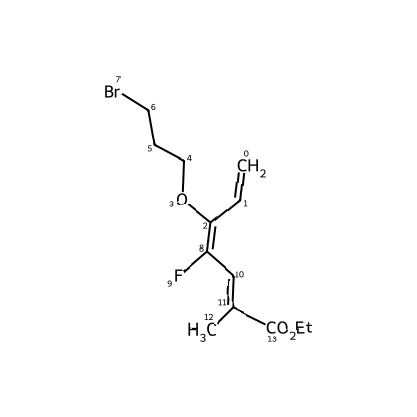 C=C/C(OCCCBr)=C(F)\C=C(/C)C(=O)OCC